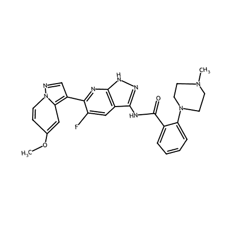 COc1ccn2ncc(-c3nc4[nH]nc(NC(=O)c5ccccc5N5CCN(C)CC5)c4cc3F)c2c1